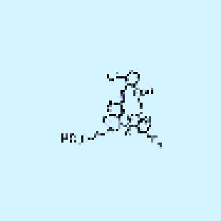 O=C(O)CCC[C@H]1CN(S(=O)(=O)c2cc(C(F)(F)F)cnc2OCCO)c2cc(/C=C/c3c(F)cccc3Cl)ccc2O1